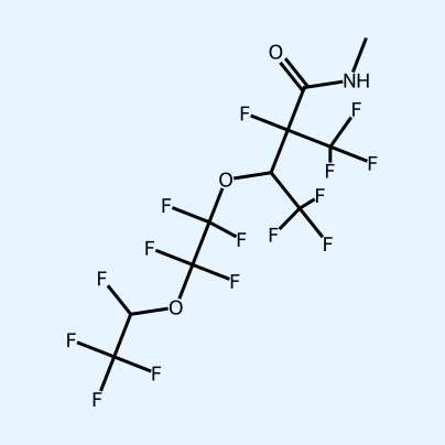 CNC(=O)C(F)(C(OC(F)(F)C(F)(F)OC(F)C(F)(F)F)C(F)(F)F)C(F)(F)F